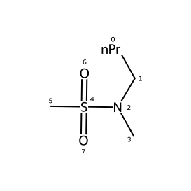 [CH2]CCCN(C)S(C)(=O)=O